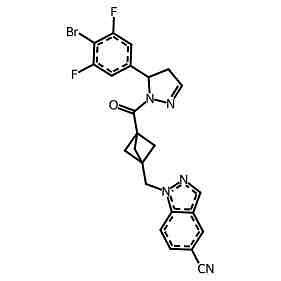 N#Cc1ccc2c(cnn2CC23CC(C(=O)N4N=CCC4c4cc(F)c(Br)c(F)c4)(C2)C3)c1